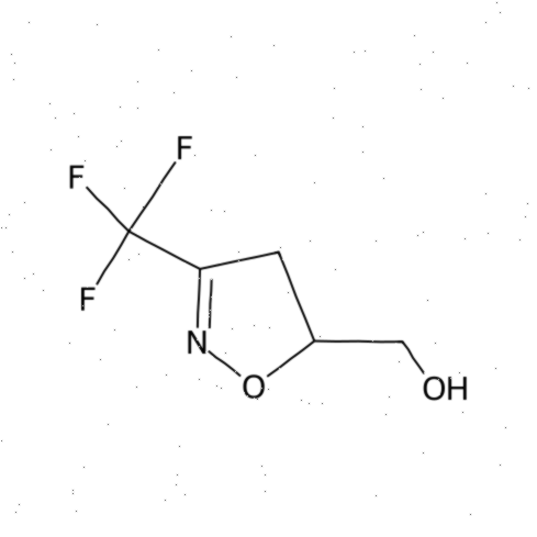 OCC1CC(C(F)(F)F)=NO1